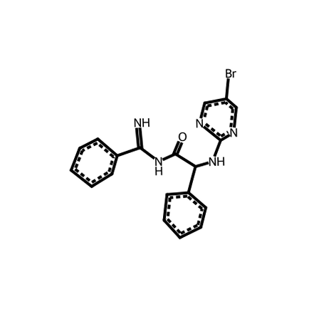 N=C(NC(=O)C(Nc1ncc(Br)cn1)c1ccccc1)c1ccccc1